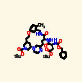 Cc1ccc(OCCC2CCCN(C(=O)OC(C)(C)C)C2)cc1CNC(=O)C(CCc1cnccn1)NC(=O)[C@H](CC(=O)OC(C)(C)C)NC(=O)OCc1ccccc1